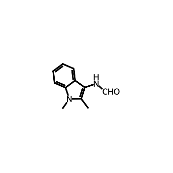 Cc1c(NC=O)c2ccccc2n1C